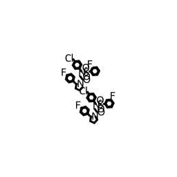 O=C(CN(c1ccc(Cl)cc1)S(=O)(=O)c1cccc(F)c1)N1CCCC1c1ccc(F)cc1.O=C(CN(c1ccc(Cl)cc1)S(=O)(=O)c1ccccc1F)N1CCCC1c1ccc(F)cc1